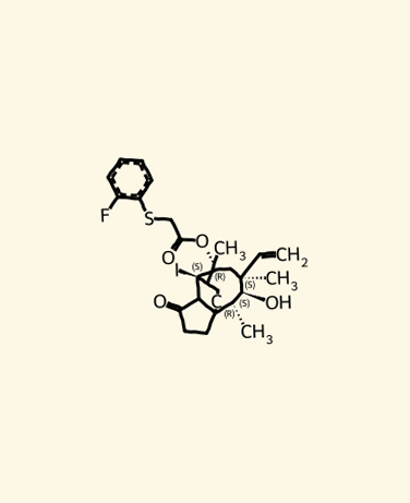 C=C[C@]1(C)C[C@@H](OC(=O)CSc2ccccc2F)[C@]2(I)C(C)CCC3(CCC(=O)C32)[C@@H](C)[C@@H]1O